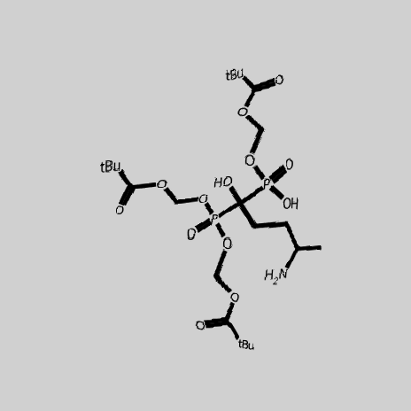 CC(N)CCC(O)(P(=O)(O)OCOC(=O)C(C)(C)C)P(=O)(OCOC(=O)C(C)(C)C)OCOC(=O)C(C)(C)C